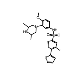 COc1ccc(NS(=O)(=O)c2ccc(-c3cccs3)c(F)c2)cc1N1CC(C)NC(C)C1